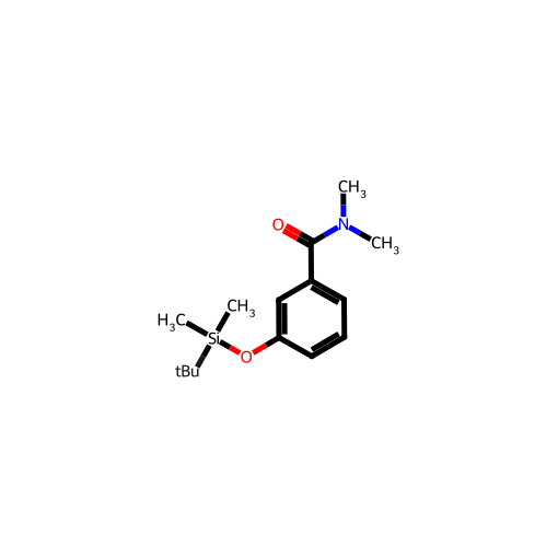 CN(C)C(=O)c1cccc(O[Si](C)(C)C(C)(C)C)c1